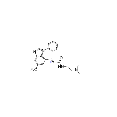 CN(C)CCNC(=O)/C=C/c1cc(C(F)(F)F)cc2ncn(-c3ccccc3)c12